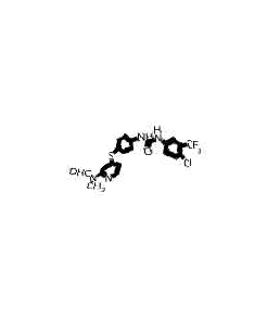 CN(C=O)c1cc(Sc2ccc(NC(=O)Nc3ccc(Cl)c(C(F)(F)F)c3)cc2)ccn1